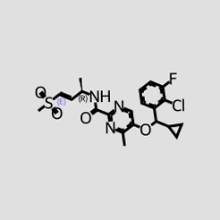 Cc1nc(C(=O)N[C@H](C)/C=C/S(C)(=O)=O)ncc1OC(c1cccc(F)c1Cl)C1CC1